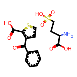 N[C@H](CCS(=O)(=O)O)C(=O)O.O=C(c1ccccc1)c1ccsc1C(=O)O